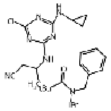 CC(C)N(Cc1ccccc1)C(=O)C(C)(C)C.CC(CC#N)Nc1nc(Cl)nc(NC2CC2)n1